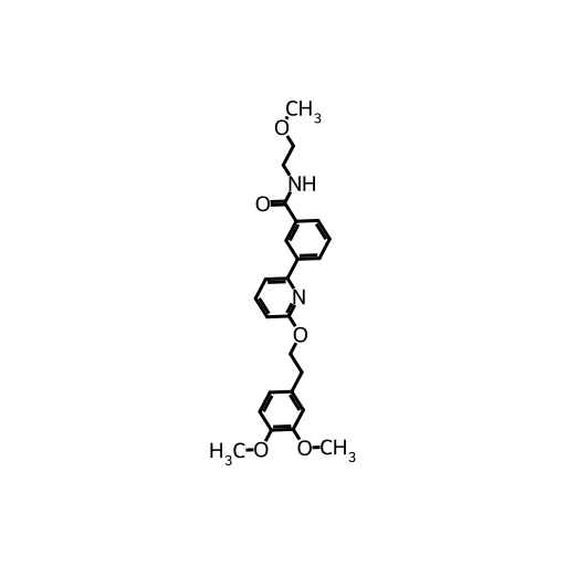 COCCNC(=O)c1cccc(-c2cccc(OCCc3ccc(OC)c(OC)c3)n2)c1